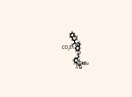 CCOC(=O)CC(c1cnc2ccccc2c1)n1ccc2cc(OCCc3cccc(N(C)C(=O)OC(C)(C)C)n3)ccc21